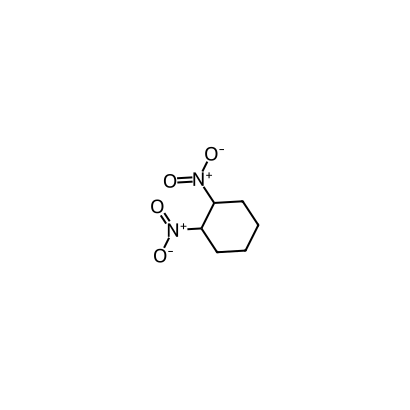 O=[N+]([O-])C1CCCCC1[N+](=O)[O-]